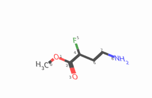 COC(=O)C(F)CCN